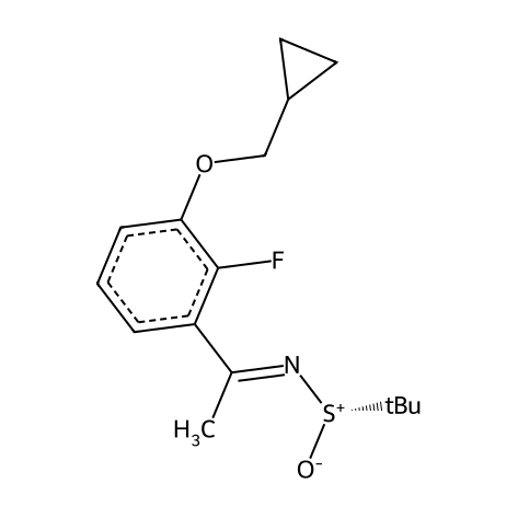 CC(=N[S@@+]([O-])C(C)(C)C)c1cccc(OCC2CC2)c1F